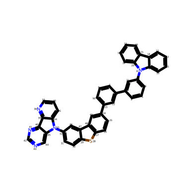 c1cc(-c2cccc(-n3c4ccccc4c4ccccc43)c2)cc(-c2ccc3sc4ccc(-n5c6cccnc6c6ncncc65)cc4c3c2)c1